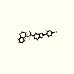 CCc1ccc(-c2nc3ccc(C(=O)NC4CCOc5ccccc54)cc3s2)cn1